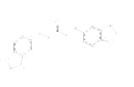 O=C(CCc1ccc2c(c1)CCO2)CCc1ccc2c(c1)CCO2